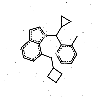 Cc1cccnc1C(C1CC1)n1ccc2cccc(CC3CCC3)c21